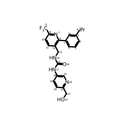 CC(C)c1cccc(-c2nc(C(F)(F)F)ccc2CNC(=O)Nc2ccc(CO)nc2)c1